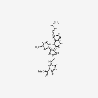 COC(=O)c1cc(NCc2nc(-c3cccc(C)n3)c(-c3ccc4ncc(OCCN)nc4c3)[nH]2)ccc1F